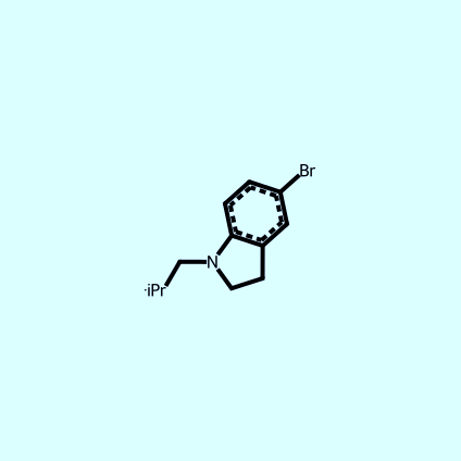 C[C](C)CN1CCc2cc(Br)ccc21